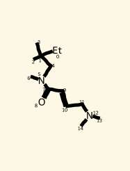 CCC(C)(C)CN(C)C(=O)/C=C/CN(C)C